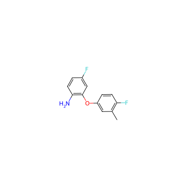 Cc1cc(Oc2cc(F)ccc2N)ccc1F